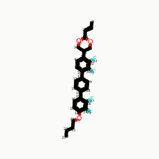 C/C=C/C1OCC(c2ccc(-c3ccc(-c4ccc(OCCCC)c(F)c4F)cc3)c(F)c2F)CO1